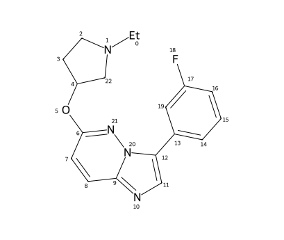 CCN1CCC(Oc2ccc3ncc(-c4cccc(F)c4)n3n2)C1